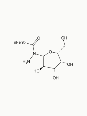 CCCCCC(=O)N(N)C1O[C@H](CO)[C@H](O)[C@H](O)[C@H]1O